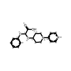 O=C(O)C(Oc1ccccc1)OC1CCN(c2ccncc2)CC1